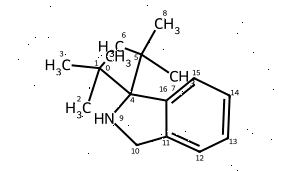 CC(C)(C)C1(C(C)(C)C)NCc2ccccc21